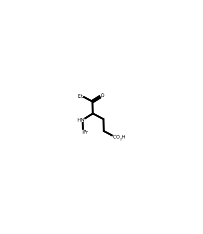 CCC(=O)C(CCC(=O)O)NC(C)C